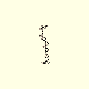 CC(C)(C)OC(=O)CN1CCN(Cc2cccc(Nc3nccc(-c4ccc(NCCCNC(=O)OC(C)(C)C)nc4)n3)c2)CC1